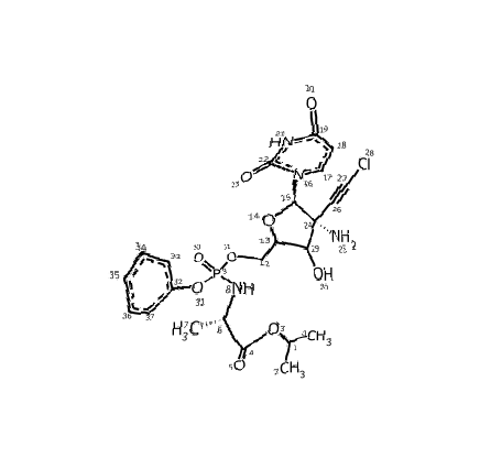 CC(C)OC(=O)[C@H](C)NP(=O)(OCC1O[C@@H](n2ccc(=O)[nH]c2=O)[C@@](N)(C#CCl)C1O)Oc1ccccc1